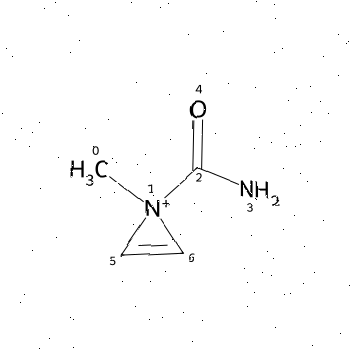 C[N+]1(C(N)=O)C=C1